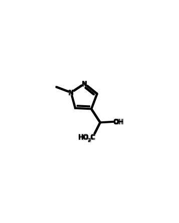 Cn1cc(C(O)C(=O)O)cn1